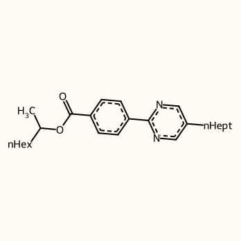 CCCCCCCc1cnc(-c2ccc(C(=O)OC(C)CCCCCC)cc2)nc1